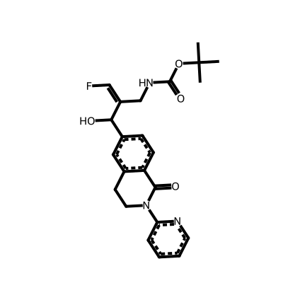 CC(C)(C)OC(=O)NC/C(=C/F)C(O)c1ccc2c(c1)CCN(c1ccccn1)C2=O